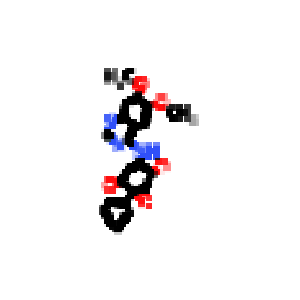 COc1cc2ncnc(NC3=CC(=O)C4(c5ccccc5)OC4C3=O)c2cc1OC